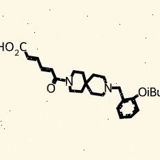 CC(C)COc1ccccc1CN1CCC2(CC1)CCN(C(=O)C=CC=CC(=O)O)CC2